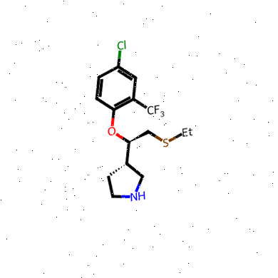 CCSC[C@H](Oc1ccc(Cl)cc1C(F)(F)F)[C@H]1CCNC1